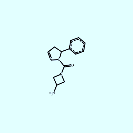 NC1CN(C(=O)N2N=CCC2c2ccccc2)C1